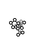 c1ccc2c(c1)Oc1cc3c4ccccc4c4ccccc4c4cccc5c6cc(-n7c8ccccc8c8ccccc87)ccc6n(c3c3c1B2c1ccccc1O3)c45